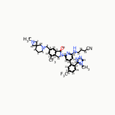 CN1CC2(CCCN(Cc3cc4c(c(C(F)(F)F)c3)CN(c3cc(-c5cc(C(F)(F)F)ccc5-c5nncn5C)cc(NCCCC#N)n3)C4=O)C2)C1